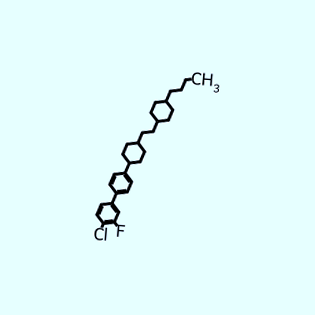 CCCCC1CCC(CCC2CCC(c3ccc(-c4ccc(Cl)c(F)c4)cc3)CC2)CC1